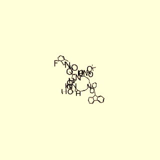 CC(C)(C)OC(=O)N[C@H]1CCCN(C(=O)OCC2c3ccccc3-c3ccccc32)C/C=C\[C@@H]2C[C@@]2(C(=O)O)NC(=O)[C@@H]2C[C@@H](OC(=O)N3Cc4cccc(F)c4C3)CN2C1=O